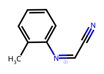 Cc1ccccc1/N=C\C#N